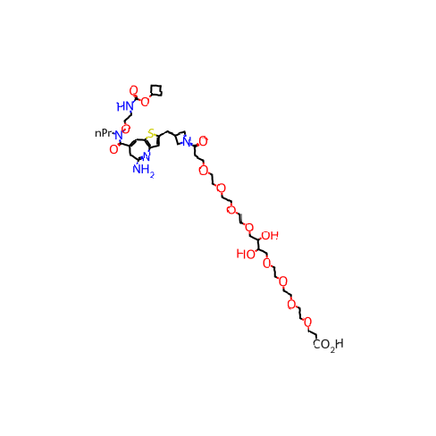 CCCN(OCCNC(=O)OC1CCC1)C(=O)C1=Cc2sc(CC3CN(C(=O)CCOCCOCCOCCOCC(O)C(O)COCCOCCOCCOCCC(=O)O)C3)cc2N=C(N)C1